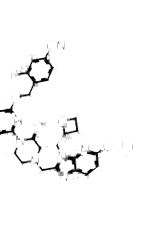 N#Cc1ccc(COc2cccc(N3CCN(Cc4nc5ccc(C(=O)O)nc5n4C[C@@H]4CCO4)CC3=O)n2)c(F)c1